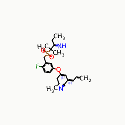 C=C/C=C(C#N)\C=C(/CCC)Oc1ccc(F)c(CS(=O)(=O)C(C)(C)C(=N)CC)c1